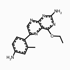 CCOc1nc(N)nc2ncc(-c3ccc(N)cc3C)nc12